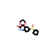 O=C1Nc2ccc([S+]([O-])c3ccccc3)cc2C12OCCCO2